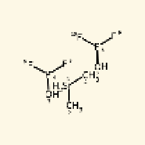 C[SiH2]C.OP(F)F.OP(F)F